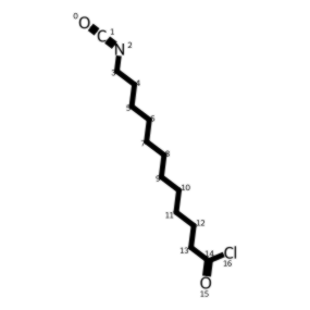 O=C=NCCCCCCCCCCCC(=O)Cl